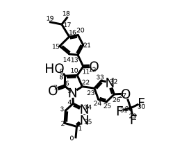 Cc1ccc(N2C(=O)C(O)=C(C(=O)c3ccc(C(C)C)cc3)C2c2ccc(OC(F)(F)F)nc2)nn1